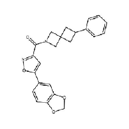 O=C(c1cc(-c2ccc3c(c2)OCO3)on1)N1CC2(CC(c3ccccc3)C2)C1